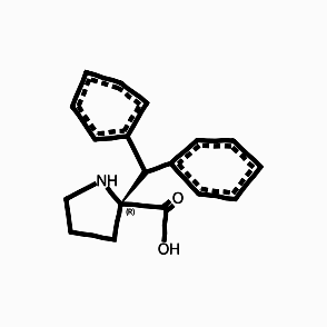 O=C(O)[C@]1(C(c2ccccc2)c2ccccc2)CCCN1